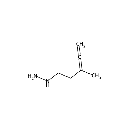 C=C=C(C)CCNN